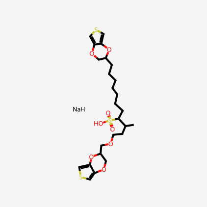 CC(CCOCC1COc2cscc2O1)C(CCCCCCCC1COc2cscc2O1)S(=O)(=O)O.[NaH]